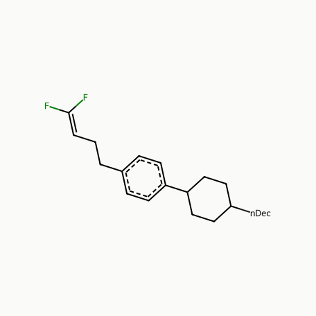 CCCCCCCCCCC1CCC(c2ccc(CCC=C(F)F)cc2)CC1